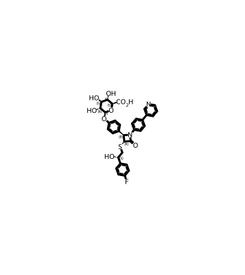 O=C(O)[C@H]1O[C@@H](Oc2ccc([C@@H]3[C@@H](SC[C@@H](O)c4ccc(F)cc4)C(=O)N3c3ccc(-c4cccnc4)cc3)cc2)[C@H](O)[C@@H](O)[C@@H]1O